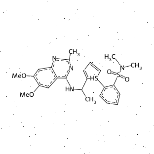 COc1cc2nc(C)nc(NC(C)C3=CC=C[SH]3c3ccccc3S(=O)(=O)N(C)C)c2cc1OC